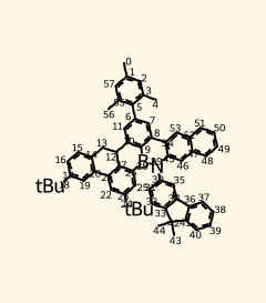 Cc1cc(C)c(-c2cc3c4c(c2)C2Cc5ccc(C(C)(C)C)cc5-c5cc(C(C)(C)C)cc(c52)B4N(c2ccc4c(c2)-c2ccccc2C4(C)C)c2cc4ccccc4cc2-3)c(C)c1